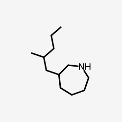 CCCC(C)CC1CCCCNC1